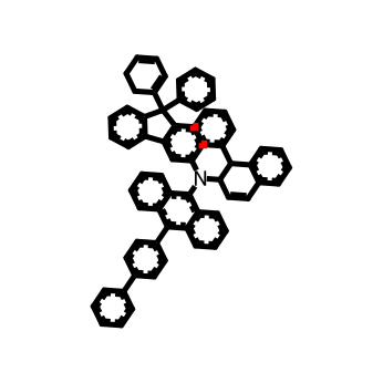 C1=CCCC(C2(c3ccccc3)c3ccccc3-c3cc(N(c4c5ccccc5c(-c5ccc(-c6ccccc6)cc5)c5ccccc45)C4C=Cc5ccccc5C4c4ccccc4)ccc32)=C1